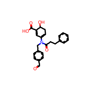 O=Cc1ccc(CN(C(=O)CCc2ccccc2)C2=CCC(O)C(C(=O)O)=C2)cc1